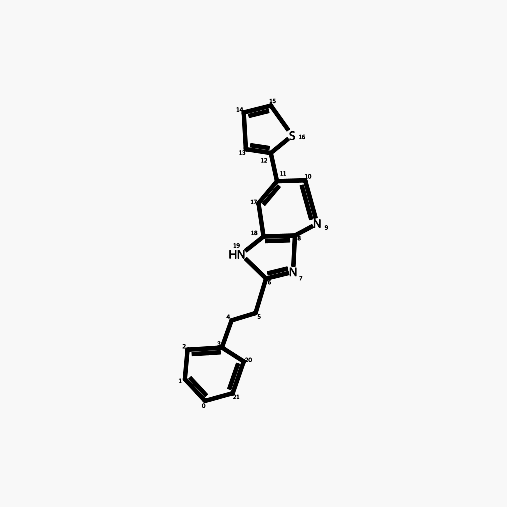 c1ccc(CCc2nc3ncc(-c4cccs4)cc3[nH]2)cc1